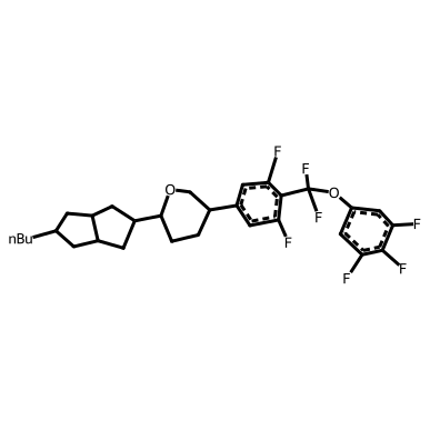 CCCCC1CC2CC(C3CCC(c4cc(F)c(C(F)(F)Oc5cc(F)c(F)c(F)c5)c(F)c4)CO3)CC2C1